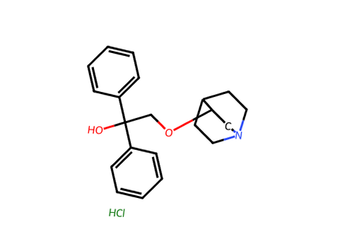 Cl.OC(COC1CN2CCC1CC2)(c1ccccc1)c1ccccc1